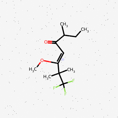 CCC(C)C(=O)/C=C(\OC)C(C)(C)C(F)(F)F